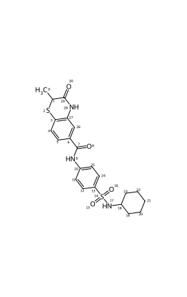 CC1Sc2ccc(C(=O)Nc3ccc(S(=O)(=O)NC4CCCCC4)cc3)cc2NC1=O